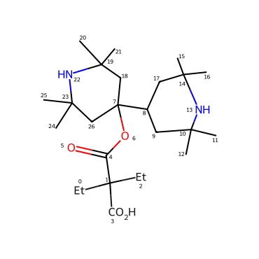 CCC(CC)(C(=O)O)C(=O)OC1(C2CC(C)(C)NC(C)(C)C2)CC(C)(C)NC(C)(C)C1